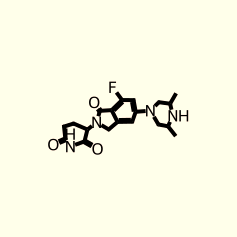 CC1CN(c2cc(F)c3c(c2)CN(C2CCC(=O)NC2=O)C3=O)CC(C)N1